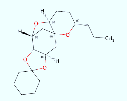 CCC[C@H]1CC[C@@H]2O[C@@H]3C[C@]2(C[C@H]2OC4(CCCCC4)OC32)O1